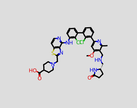 COc1cc(-c2cccc(-c3cccc(Nc4nccc5sc(CN6CCC(C(=O)O)CC6)nc45)c3Cl)c2Cl)nc(C)c1CNC[C@@H]1CCC(=O)N1